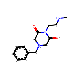 CNCCN1C(=O)CN(Cc2ccccc2)CC1=O